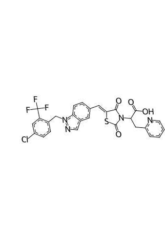 O=C(O)C(Cc1ccccn1)N1C(=O)SC(=Cc2ccc3c(cnn3Cc3ccc(Cl)cc3C(F)(F)F)c2)C1=O